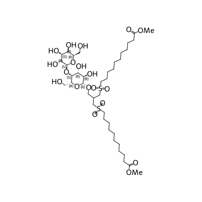 COC(=O)CCCCCCCCCCS(=O)(=O)CC(CO[C@@H]1O[C@H](CO)[C@@H](O[C@@H]2O[C@H](CO)[C@H](O)[C@H](O)[C@H]2O)[C@H](O)[C@H]1O)CS(=O)(=O)CCCCCCCCCCC(=O)OC